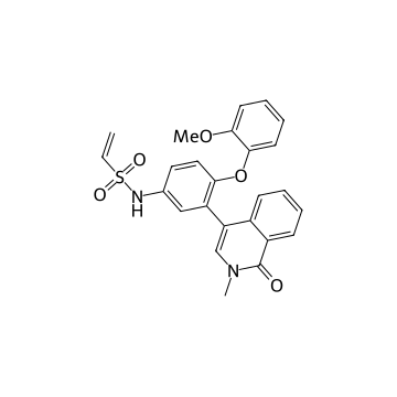 C=CS(=O)(=O)Nc1ccc(Oc2ccccc2OC)c(-c2cn(C)c(=O)c3ccccc23)c1